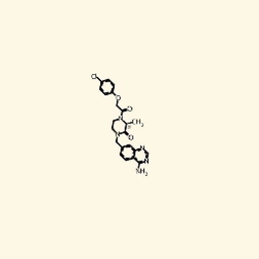 C[C@H]1C(=O)N(Cc2ccc3c(N)ncnc3c2)CCN1C(=O)COc1ccc(Cl)cc1